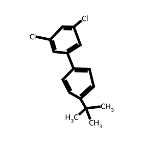 CC(C)(C)c1ccc(-c2cc(Cl)cc(Cl)c2)cc1